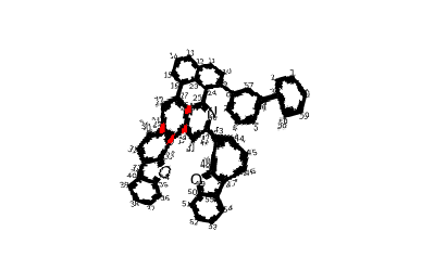 c1ccc(-c2cccc(-c3ccc4cccc(-c5ccccc5)c4c3-c3nc(-c4cccc5c4oc4ccccc45)cc(-c4cccc5c4oc4ccccc45)n3)c2)cc1